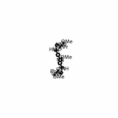 COC(=O)N[C@H](C(=O)N1CCC[C@H]1c1nc(-c2ccc(-c3nc4ccc(-c5c[nH]c([C@@H]6CCCN6C(=O)[C@@H](NC(=O)OC)C(C)C)n5)cc4nc3OC)cc2)c[nH]1)C(C)C